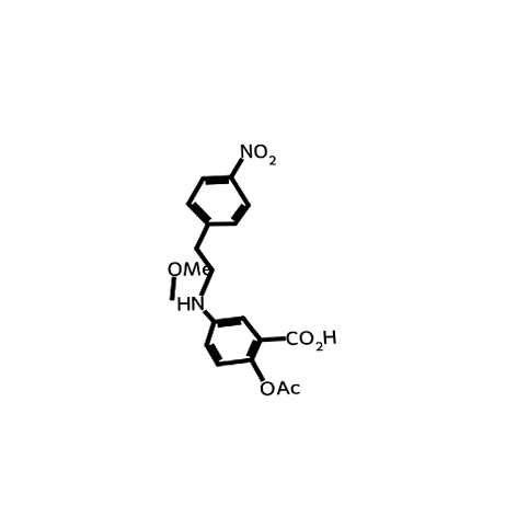 CC(=O)Oc1ccc(NCCc2ccc([N+](=O)[O-])cc2)cc1C(=O)O.COC